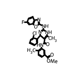 COC(=O)c1ccc(C)c(NC(=O)C2=C(C)NC(Nc3nc4ccc(F)cc4o3)=NC2c2ccccc2Cl)c1